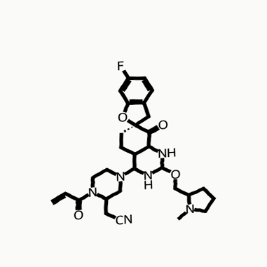 C=CC(=O)N1CCN(C2NC(OCC3CCCN3C)NC3C(=O)[C@]4(CCC32)Cc2ccc(F)cc2O4)CC1CC#N